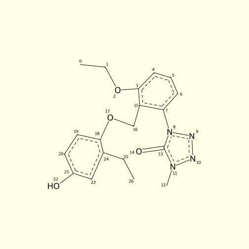 CCOc1cccc(-n2nnn(C)c2=O)c1COc1ccc(O)cc1CC